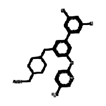 CC(=O)NCC1CCN(Cc2cc(Oc3ccc(N)cn3)cc(-c3cc(Cl)cc(Cl)c3)c2)CC1